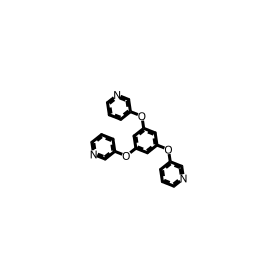 c1cncc(Oc2cc(Oc3cccnc3)cc(Oc3cccnc3)c2)c1